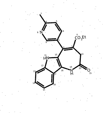 CCOC(=O)C1=C(c2ccc(C)nc2)c2[nH]c3ccccc3c2NC(=O)C1